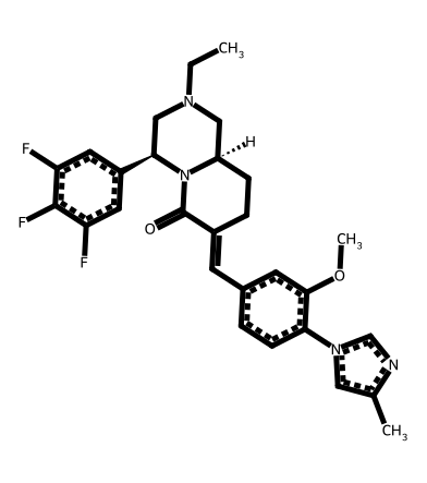 CCN1C[C@H]2CC/C(=C\c3ccc(-n4cnc(C)c4)c(OC)c3)C(=O)N2[C@@H](c2cc(F)c(F)c(F)c2)C1